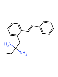 CCC(N)(N)Cc1ccccc1C=Cc1ccccc1